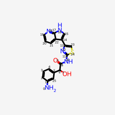 Nc1cccc(C(O)C(=O)Nc2nc(-c3c[nH]c4ncccc34)cs2)c1